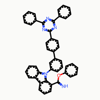 N=C(Oc1ccccc1)c1cccc2c3ccccc3n(-c3cccc(-c4ccc(-c5nc(-c6ccccc6)nc(-c6ccccc6)n5)cc4)c3)c12